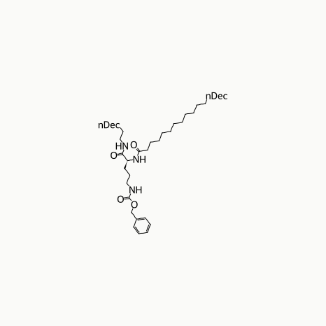 CCCCCCCCCCCCCCCCCCCCCC(=O)N[C@@H](CCCNC(=O)OCc1ccccc1)C(=O)NCCCCCCCCCCCC